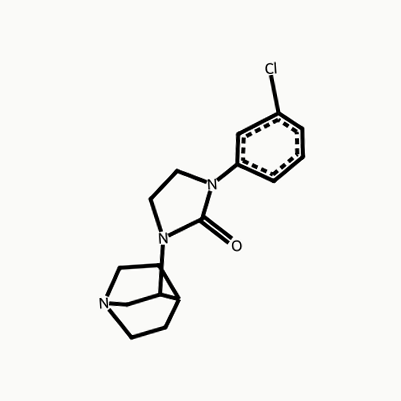 O=C1N(c2cccc(Cl)c2)CCN1C1CN2CCC1CC2